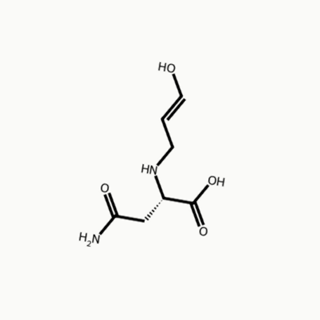 NC(=O)C[C@H](NCC=CO)C(=O)O